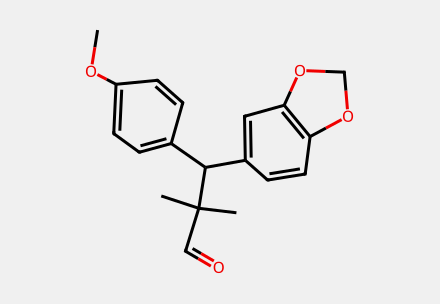 COc1ccc(C(c2ccc3c(c2)OCO3)C(C)(C)C=O)cc1